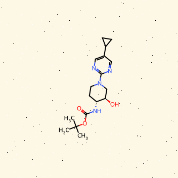 CC(C)(C)OC(=O)N[C@@H]1CCN(c2ncc(C3CC3)cn2)C[C@H]1O